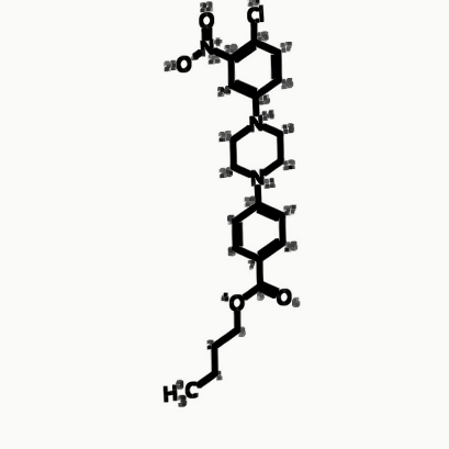 CCCCOC(=O)c1ccc(N2CCN(c3ccc(Cl)c([N+](=O)[O-])c3)CC2)cc1